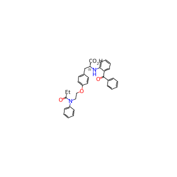 CCC(=O)N(CCOc1ccc(C[C@H](Nc2ccccc2C(=O)c2ccccc2)C(=O)O)cc1)c1ccccc1